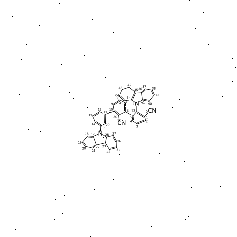 N#Cc1cccc(-c2cccc(-c3cccc(N4c5ccccc5C5C=CC=CC54)c3)c2C#N)c1-n1c2c(c3ccccc31)CCC=C2